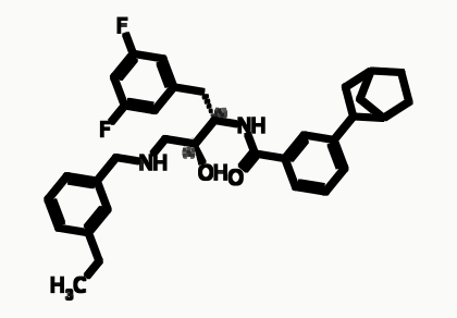 CCc1cccc(CNC[C@H](O)[C@H](Cc2cc(F)cc(F)c2)NC(=O)c2cccc(C3CC4CCC3C4)c2)c1